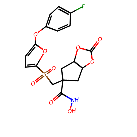 O=C1OC2CC(CS(=O)(=O)c3ccc(Oc4ccc(F)cc4)o3)(C(=O)NO)CC2O1